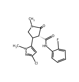 CN1CC(c2cc(Cl)nn2C)[C@@H](C(=O)Nc2ccccc2F)C1=O